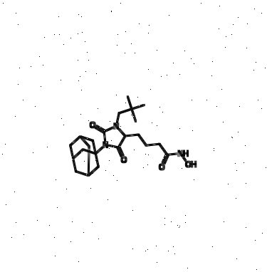 CC(C)(C)CN1C(=O)N(C23CC4CC(CC(C4)C2)C3)C(=O)C1CCCC(=O)NO